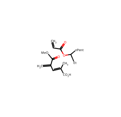 C=C(C=C(C)C(=O)O)C(=O)OC.C=CC(=O)OC(CC)CCCCC